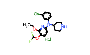 CCOc1nc(N(c2cccc(Cl)c2)C2CCNCC2)ccc1OC(F)F.Cl